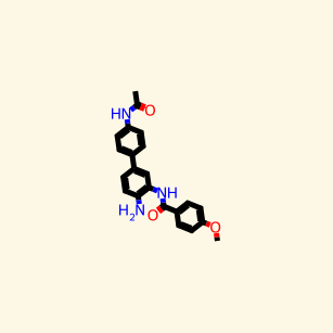 COc1ccc(C(=O)Nc2cc(-c3ccc(NC(C)=O)cc3)ccc2N)cc1